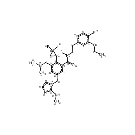 CCOc1cc(CCN2C[C@@]3(CC3(F)F)c3c(CN(C)C)cc(Cn4ccnc4NC)cc3C2=O)ncc1F